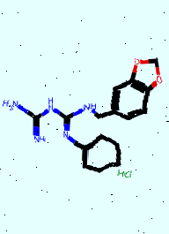 Cl.N=C(N)NC(=NC1CCCCC1)NCc1ccc2c(c1)OCO2